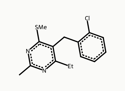 CCc1nc(C)nc(SC)c1Cc1ccccc1Cl